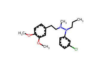 CCCN(c1cccc(Cl)c1)N(C)CCc1ccc(OC)c(OC)c1